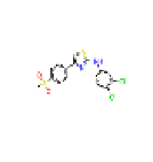 CS(=O)(=O)c1ccc(-c2csc(Nc3ccc(Cl)c(Cl)c3)n2)cc1